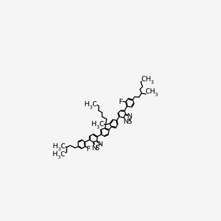 CCCCCCC1(C)c2cc(-c3ccc(-c4ccc(CCC(C)CC)cc4F)c4nsnc34)ccc2-c2ccc(-c3ccc(-c4ccc(CCC(CC)CCCC)cc4F)c4nsnc34)cc21